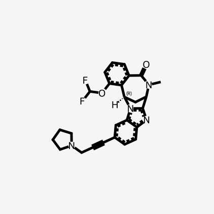 CN1C(=O)c2cccc(OC(F)F)c2[C@H]2CC1c1nc3ccc(C#CCN4CCCC4)cc3n12